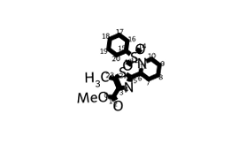 COC(=O)c1nc(C2CCCCN2S(=O)(=O)C2CCCCC2)sc1C